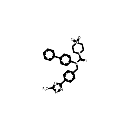 O=C(N1CCS(=O)(=O)CC1)N(Cc1ccc(-c2nnc(C(F)(F)F)o2)cc1)c1ccc(-c2ccccc2)cc1